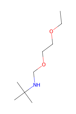 CCOCCOCNC(C)(C)C